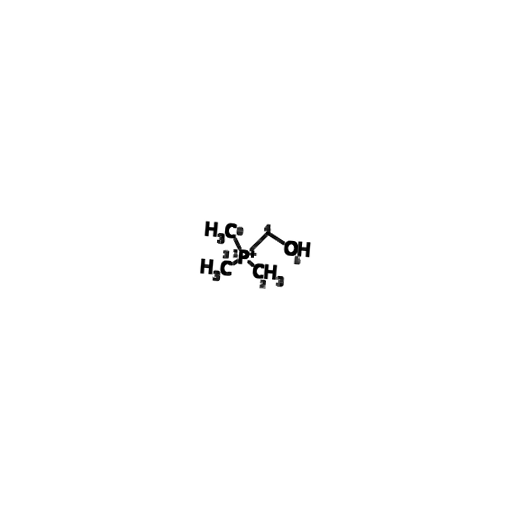 C[P+](C)(C)CO